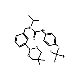 CC(C)N(Cc1cccc(B2OCC(C)(C)CO2)c1)C(=O)Nc1ccc(OC(F)(F)F)cc1